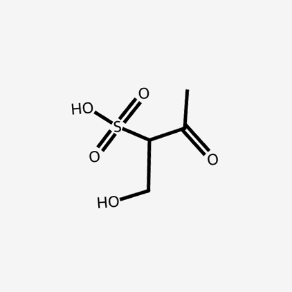 CC(=O)C(CO)S(=O)(=O)O